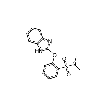 CN(C)S(=O)(=O)c1ccccc1Oc1nc2ccccc2[nH]1